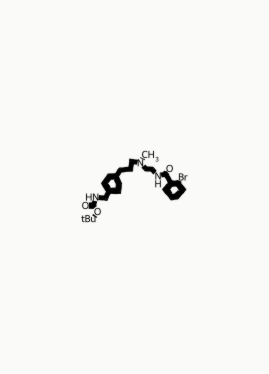 CN(CCCc1ccc(CNC(=O)OC(C)(C)C)cc1)CCNC(=O)c1ccccc1Br